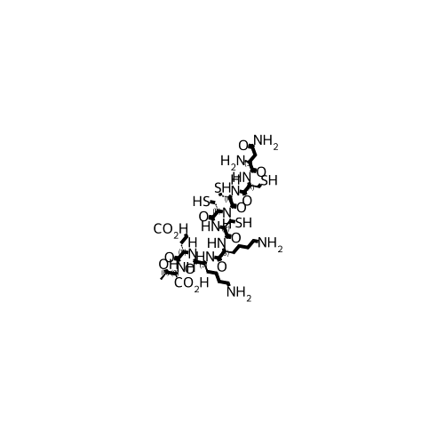 C[C@@H](O)[C@H](NC(=O)[C@H](CCC(=O)O)NC(=O)[C@H](CCCCN)NC(=O)[C@H](CCCCN)NC(=O)[C@H](CS)NC(=O)[C@H](CS)NC(=O)[C@H](CS)NC(=O)[C@H](CS)NC(=O)[C@@H](N)CC(N)=O)C(=O)O